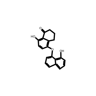 O=C1CCCc2c(Oc3cccc4cccc(O)c34)ccc(O)c21